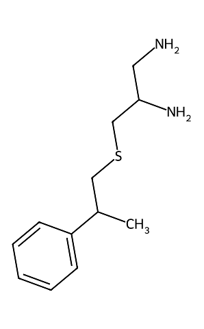 CC(CSCC(N)CN)c1ccccc1